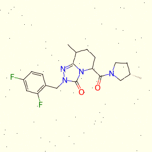 CC1CCC(C(=O)N2CC[C@H](C)C2)n2c1nn(Cc1ccc(F)cc1F)c2=O